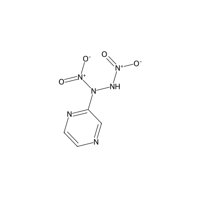 O=[N+]([O-])NN(c1cnccn1)[N+](=O)[O-]